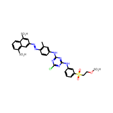 Cc1cc(Nc2nc(Cl)nc(Nc3cccc(S(=O)(=O)CCOS(=O)(=O)O)c3)n2)ccc1N=Nc1cc(S(=O)(=O)O)c2cccc(S(=O)(=O)O)c2c1